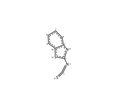 S=C=Nc1nc2ccccc2s1